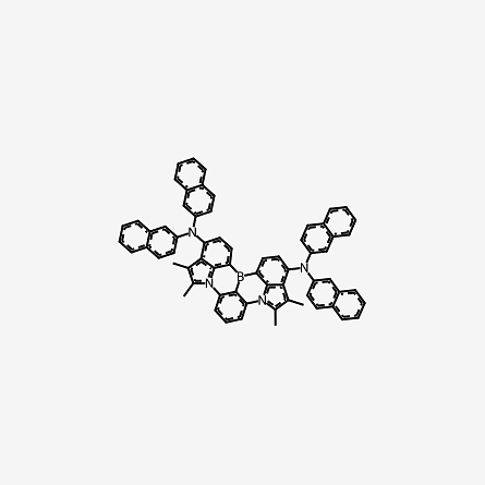 Cc1c(C)n2c3c(ccc(N(c4ccc5ccccc5c4)c4ccc5ccccc5c4)c13)B1c3c-2cccc3-n2c(C)c(C)c3c(N(c4ccc5ccccc5c4)c4ccc5ccccc5c4)ccc1c32